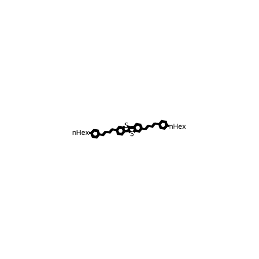 CCCCCCc1ccc(/C=C/C=C/c2ccc3c(c2)sc2c4ccc(/C=C/C=C/c5ccc(CCCCCC)cc5)cc4sc32)cc1